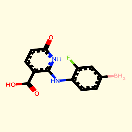 Bc1ccc(Nc2[nH]c(=O)ccc2C(=O)O)c(F)c1